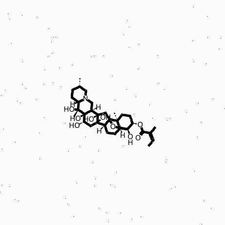 C/C=C(/C)C(=O)O[C@H]1CC[C@@]2(C)[C@@H]3CC[C@@H]4C2(C[C@@]2(O)[C@@H]5CN6C[C@@H](C)CC[C@H]6[C@@](C)(O)[C@@]5(O)[C@@H](O)C[C@@]42O)O[C@]13O